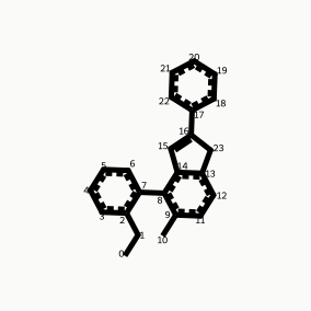 CCc1ccccc1-c1c(C)ccc2c1C=C(c1ccccc1)[CH]2